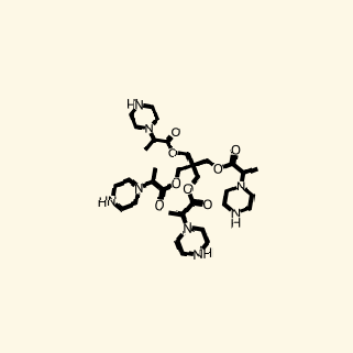 CC(C(=O)OCC(COC(=O)C(C)N1CCNCC1)(COC(=O)C(C)N1CCNCC1)COC(=O)C(C)N1CCNCC1)N1CCNCC1